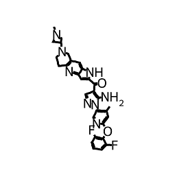 Cc1cc(Oc2c(F)cccc2F)ncc1-n1ncc(C(=O)c2cc3nc4c(cc3[nH]2)CN(C2CN(C)C2)CC4)c1N